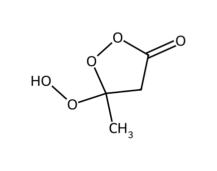 CC1(OO)CC(=O)OO1